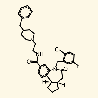 O=C(NCCN1CCC(Cc2ccccc2)CC1)c1ccc2c(c1)N(Cc1cc(F)ccc1Cl)C(=O)C[C@@H]1CCC[C@H]21